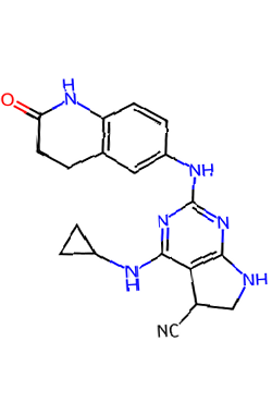 N#CC1CNc2nc(Nc3ccc4c(c3)CCC(=O)N4)nc(NC3CC3)c21